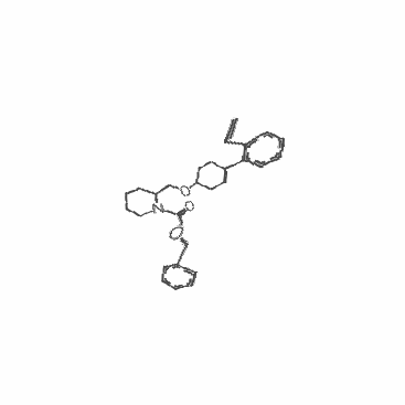 C=Cc1ccccc1C1CCC(OCC2CCCCN2C(=O)OCc2ccccc2)CC1